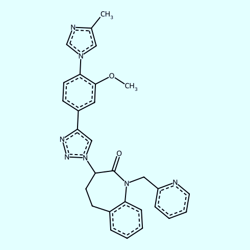 COc1cc(-c2cn(C3CCc4ccccc4N(Cc4ccccn4)C3=O)nn2)ccc1-n1cnc(C)c1